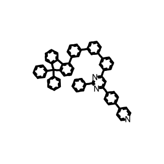 c1ccc(-c2nc(-c3ccc(-c4ccncc4)cc3)cc(-c3cccc(-c4cccc(-c5cccc(-c6cccc7c6-c6ccccc6C7(c6ccccc6)c6ccccc6)c5)c4)c3)n2)cc1